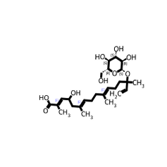 C=CC(C)(CC/C=C(\C)CC/C=C(\C)CC(O)/C=C(\C)C(=O)O)O[C@@H]1O[C@H](CO)[C@@H](O)[C@H](O)[C@H]1O